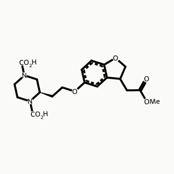 COC(=O)CC1COc2ccc(OCC[C@@H]3CN(C(=O)O)CCN3C(=O)O)cc21